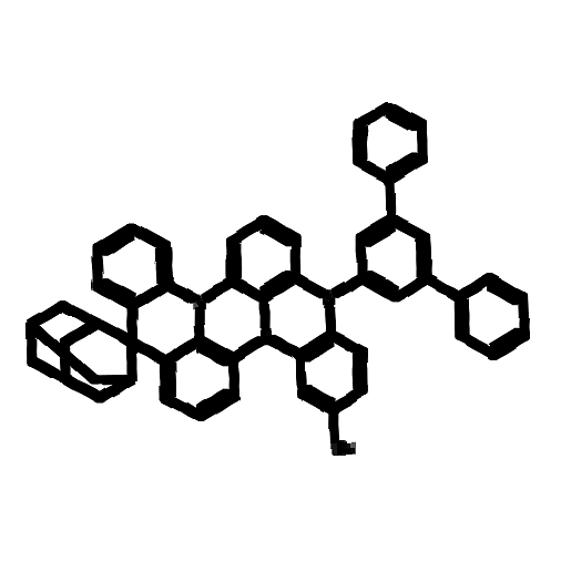 CC(C)(C)c1ccc2c(c1)B1c3cccc4c3N(c3ccccc3C43C4CC5CC(C4)CC3C5)c3cccc(c31)N2c1cc(-c2ccccc2)cc(-c2ccccc2)c1